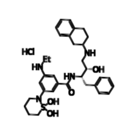 CCNc1cc(C(=O)N[C@@H](Cc2ccccc2)[C@@H](O)CNC2CCc3ccccc3C2)cc(N2CCCCS2(O)O)c1.Cl